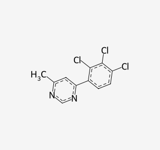 Cc1cc(-c2ccc(Cl)c(Cl)c2Cl)ncn1